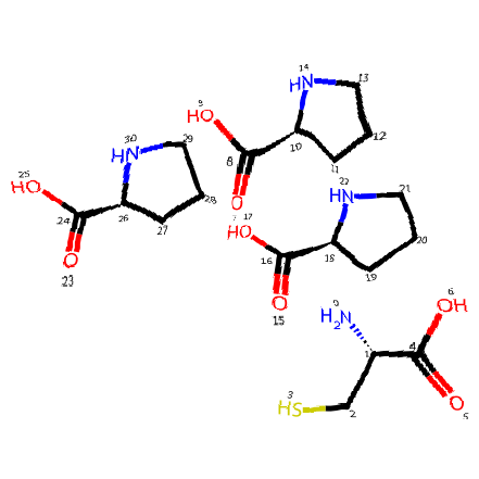 N[C@@H](CS)C(=O)O.O=C(O)[C@@H]1CCCN1.O=C(O)[C@@H]1CCCN1.O=C(O)[C@@H]1CCCN1